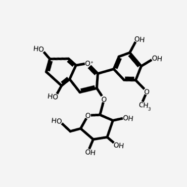 COc1cc(-c2[o+]c3cc(O)cc(O)c3cc2OC2OC(CO)C(O)C(O)C2O)cc(O)c1O